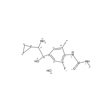 CNC(=O)Nc1c(F)cc(C(O)C(N)C2CC2)cc1I.Cl